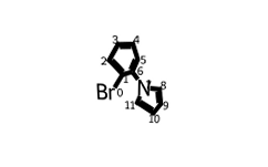 Brc1ccccc1-n1cccc1